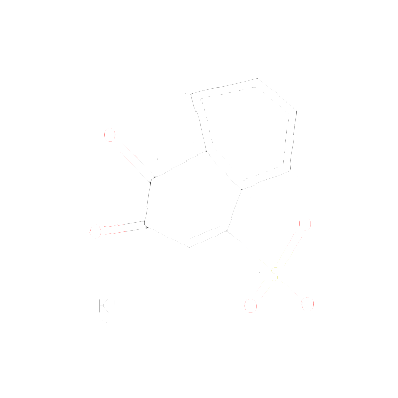 O=C1C=C(S(=O)(=O)[O-])c2ccccc2C1=O.[K+]